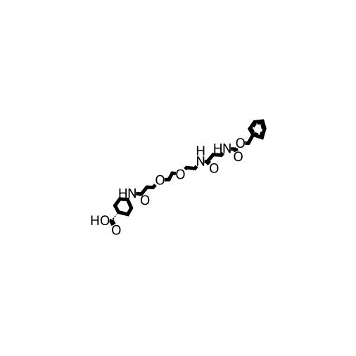 O=C(CCNC(=O)OCc1ccccc1)NCCOCCOCCC(=O)N[C@H]1CC[C@@H](C(=O)O)CC1